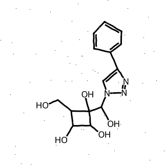 OCC1C(O)C(O)C1(O)C(O)n1cc(-c2ccccc2)nn1